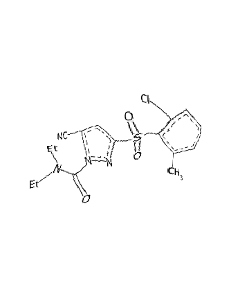 CCN(CC)C(=O)n1nc(S(=O)(=O)c2c(C)cccc2Cl)cc1C#N